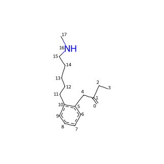 C=C(CC)Cc1ccccc1CCCCCNC